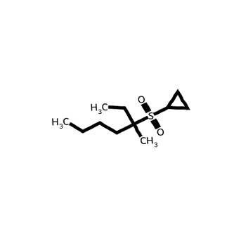 CCCCC(C)(CC)S(=O)(=O)C1CC1